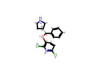 Clc1ccc(OC(c2ccccc2)[C@@H]2CCNC2)c(Cl)n1